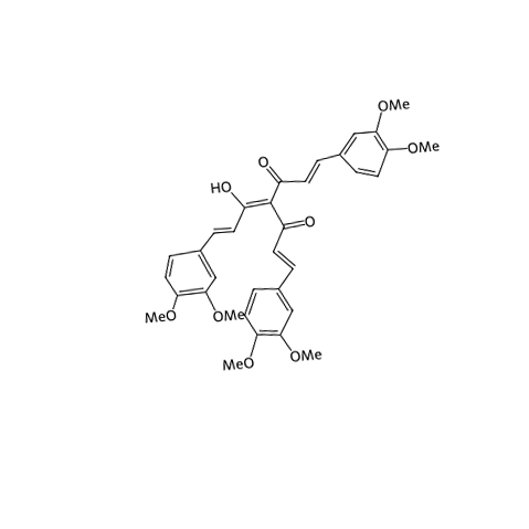 COc1ccc(/C=C/C(=O)C(C(=O)/C=C/c2ccc(OC)c(OC)c2)=C(O)/C=C/c2ccc(OC)c(OC)c2)cc1OC